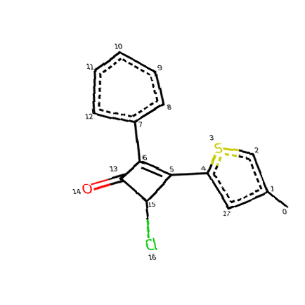 Cc1csc(C2=C(c3ccccc3)C(=O)C2Cl)c1